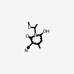 COC(C)n1c(O)cc(C)c(C#N)c1=O